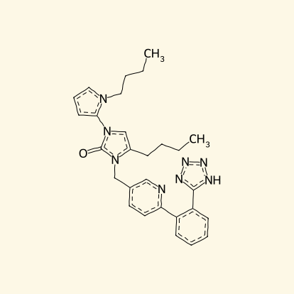 CCCCc1cn(-c2cccn2CCCC)c(=O)n1Cc1ccc(-c2ccccc2-c2nnn[nH]2)nc1